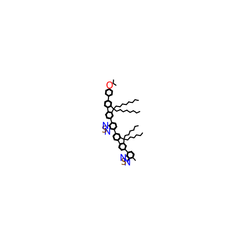 CCCCCCCCC1(CCCCCCCC)c2cc(-c3ccc(OC(C)C)cc3)ccc2-c2ccc(-c3ccc(-c4ccc5c(c4)C(CCCCCC)(CCCCCC)c4cc(-c6ccc(C)c7nsnc67)ccc4-5)c4nsnc34)cc21